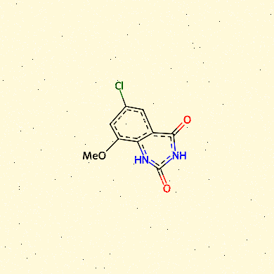 COc1cc(Cl)cc2c(=O)[nH]c(=O)[nH]c12